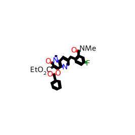 CCOC(=O)c1c(OC(=O)c2ccccc2)c2ncc(Cc3ccc(F)cc3C(=O)NC)cc2n(C)c1=O